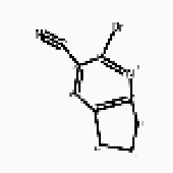 N#Cc1cc2c(nc1Br)CCC2